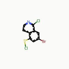 ClSc1cc(Br)cc2c(Cl)nccc12